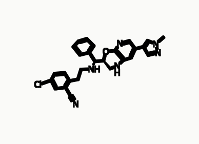 Cn1cc(-c2cnc3c(c2)NC[C@@H]([C@H](NCCc2ccc(Cl)cc2C#N)c2ccccc2)O3)cn1